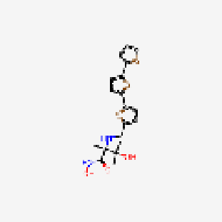 CC(C)(O)C(C)(NCc1ccc(-c2ccc(-c3cccs3)s2)s1)C(=O)NO